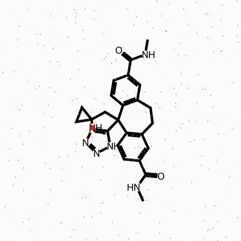 CNC(=O)c1ccc2c(c1)CCc1cc(C(=O)NC)ccc1C2(CC1(N)CC1)c1nnn[nH]1